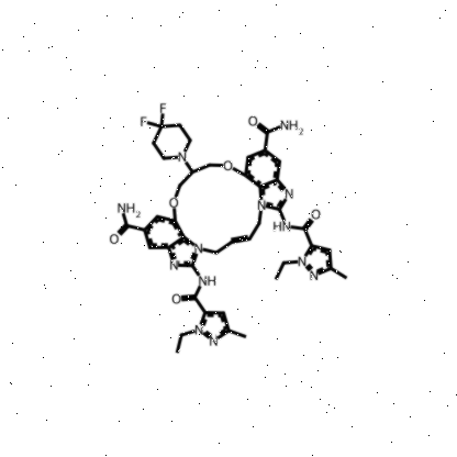 CCn1nc(C)cc1C(=O)Nc1nc2cc(C(N)=O)cc3c2n1C/C=C/Cn1c(NC(=O)c2cc(C)nn2CC)nc2cc(C(N)=O)cc(c21)OCC(N1CCC(F)(F)CC1)CO3